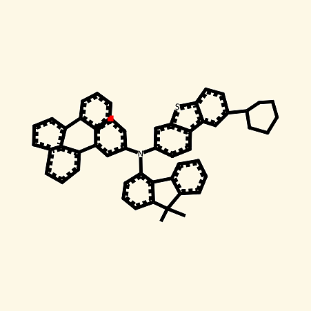 CC1(C)c2ccccc2-c2c(N(c3cccc(-c4cccc5cccc(-c6ccccc6)c45)c3)c3ccc4c(c3)sc3ccc(C5CCCCC5)cc34)cccc21